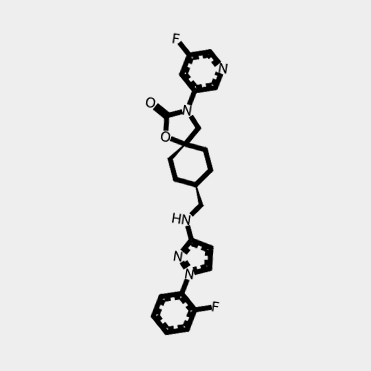 O=C1O[C@]2(CC[C@H](CNc3ccn(-c4ccccc4F)n3)CC2)CN1c1cncc(F)c1